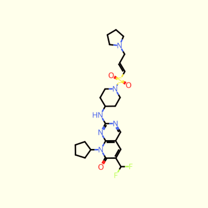 O=c1c(C(F)F)cc2cnc(NC3CCN(S(=O)(=O)/C=C/CN4CCCC4)CC3)nc2n1C1CCCC1